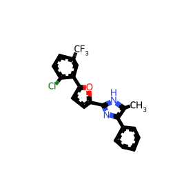 Cc1[nH]c(-c2ccc(-c3cc(C(F)(F)F)ccc3Cl)o2)nc1-c1ccccc1